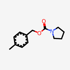 Cc1ccc(COC(=O)N2CCCC2)cc1